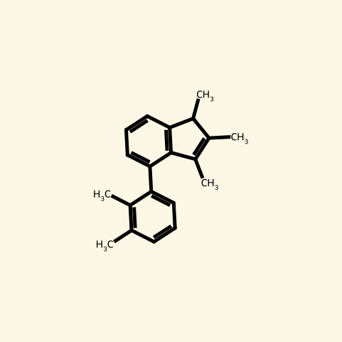 C[C]1C(C)=C(C)c2c1cccc2-c1cccc(C)c1C